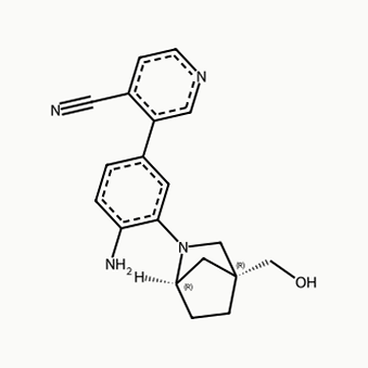 N#Cc1ccncc1-c1ccc(N)c(N2C[C@@]3(CO)CC[C@@H]2C3)c1